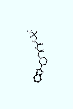 CC(F)(F)CNC(=O)NC(=O)CN1CCCC(c2nc3ccccc3s2)C1